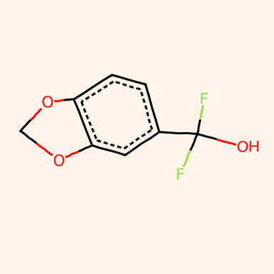 OC(F)(F)c1ccc2c(c1)OCO2